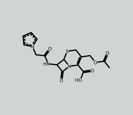 CC(=O)OCC1=C(C(=O)O)N2C(=O)C(NC(=O)Cn3cccc3)C2SC1